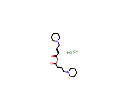 Cl.Cl.O=C(C=CCN1CCCCC1)OC(=O)C=CCN1CCCCC1